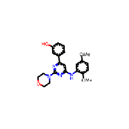 COc1ccc(OC)c(Nc2cc(-c3cccc(O)c3)nc(N3CCOCC3)n2)c1